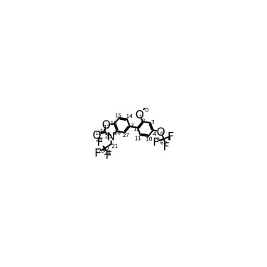 COc1cc(OC(F)(F)F)ccc1-c1ccc2oc(=O)n(CC(F)(F)F)c2c1